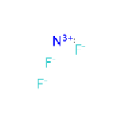 [F-].[F-].[F-].[N+3]